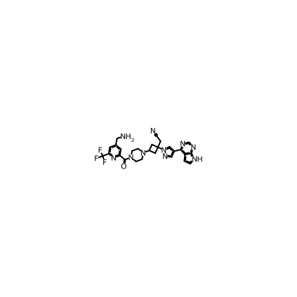 N#CCC1(n2cc(-c3ncnc4[nH]ccc34)cn2)CC(N2CCN(C(=O)c3cc(CN)cc(C(F)(F)F)n3)CC2)C1